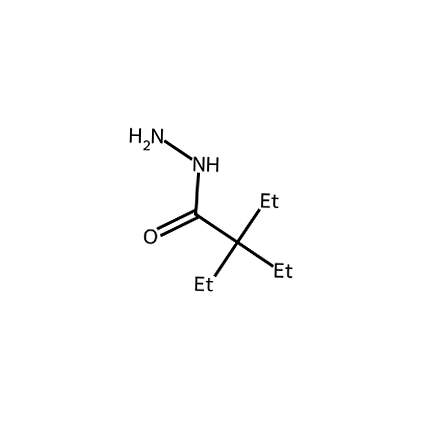 CCC(CC)(CC)C(=O)NN